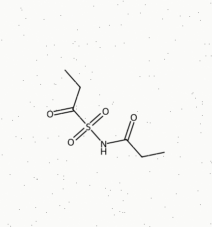 CCC(=O)NS(=O)(=O)C(=O)CC